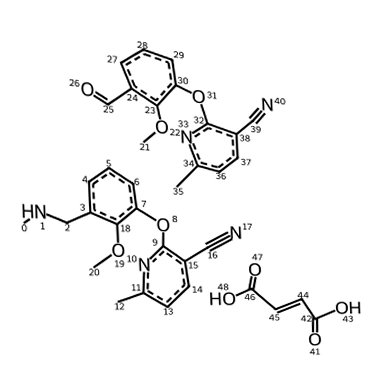 CNCc1cccc(Oc2nc(C)ccc2C#N)c1OC.COc1c(C=O)cccc1Oc1nc(C)ccc1C#N.O=C(O)C=CC(=O)O